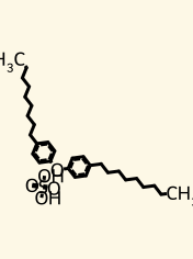 CCCCCCCCCc1ccc(Oc2ccc(CCCCCCCCC)cc2)cc1.O=S(=O)(O)O